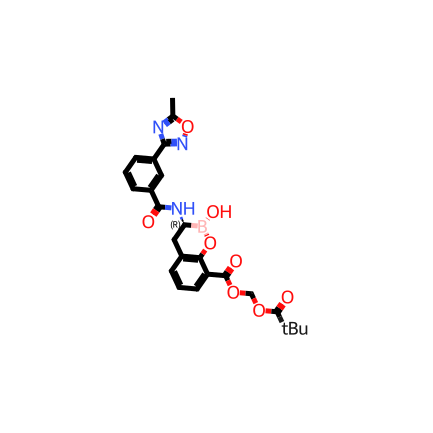 Cc1nc(-c2cccc(C(=O)N[C@H]3Cc4cccc(C(=O)OCOC(=O)C(C)(C)C)c4OB3O)c2)no1